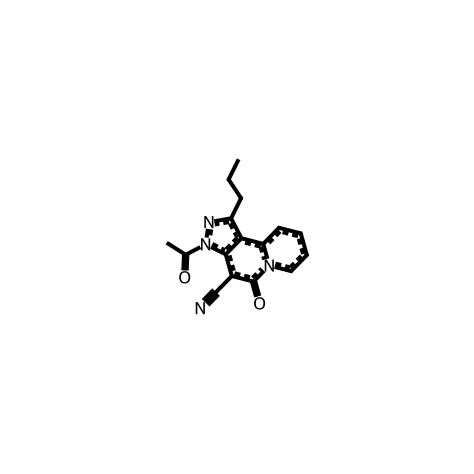 CCCc1nn(C(C)=O)c2c(C#N)c(=O)n3ccccc3c12